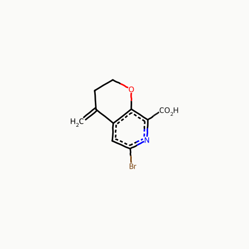 C=C1CCOc2c1cc(Br)nc2C(=O)O